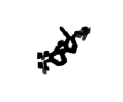 CCCc1ccc2c(sc3c(C)c(C)ccc32)c1I